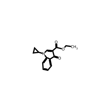 CCOC(=O)c1cn(C2CC2)c2ccccc2c1=O